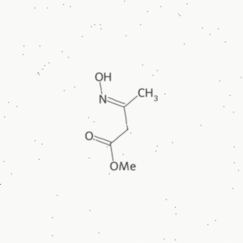 COC(=O)CC(C)=NO